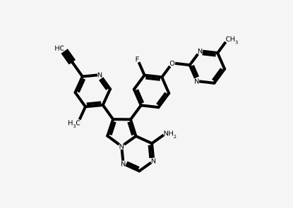 C#Cc1cc(C)c(-c2cn3ncnc(N)c3c2-c2ccc(Oc3nccc(C)n3)c(F)c2)cn1